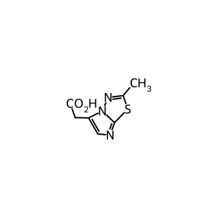 Cc1nn2c(CC(=O)O)cnc2s1